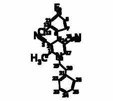 CC1=C(C#N)C(c2ccc(F)cc2Cl)C(C#N)=CN1CCc1ccccc1